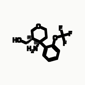 N[C@@]1(c2ccccc2OC(F)(F)F)CCOC[C@H]1CO